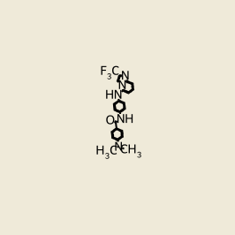 CN(C)c1ccc(C(=O)Nc2ccc(Nc3cccc4nc(C(F)(F)F)cn34)cc2)cc1